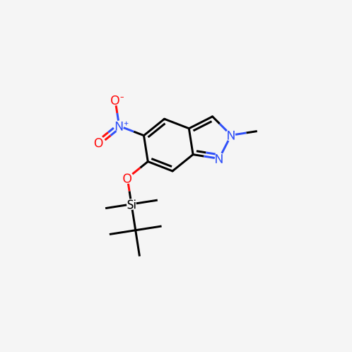 Cn1cc2cc([N+](=O)[O-])c(O[Si](C)(C)C(C)(C)C)cc2n1